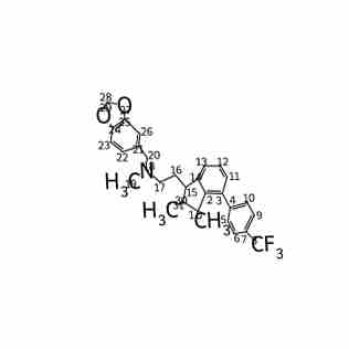 CC1c2c(-c3ccc(C(F)(F)F)cc3)cccc2C(CCN(C)Cc2ccc3c(c2)OCO3)[C@@H]1C